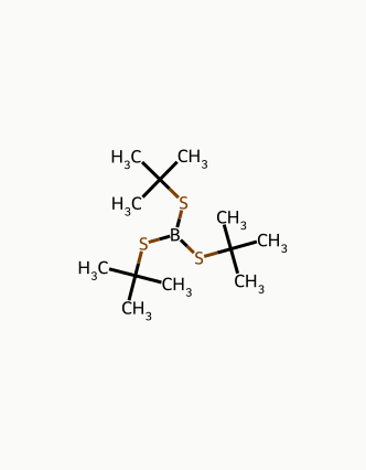 CC(C)(C)SB(SC(C)(C)C)SC(C)(C)C